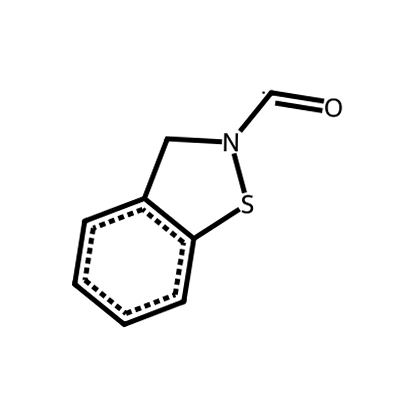 O=[C]N1Cc2ccccc2S1